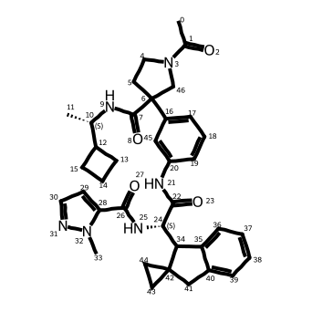 CC(=O)N1CCC(C(=O)N[C@@H](C)C2CCC2)(c2cccc(NC(=O)[C@@H](NC(=O)c3ccnn3C)C3c4ccccc4CC34CC4)c2)C1